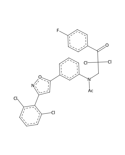 CC(=O)N(CC(Cl)(Cl)C(=O)c1ccc(F)cc1)c1cccc(-c2cc(-c3c(Cl)cccc3Cl)no2)c1